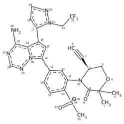 C#C[C@H]1COC(C)(C)C(=O)N1c1cc(-c2cc(-c3ccnn3CC(F)(F)F)c3c(N)ncnn23)ccc1S(C)(=O)=O